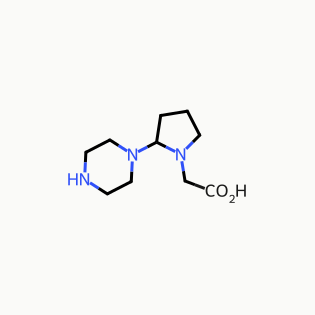 O=C(O)CN1CCCC1N1CCNCC1